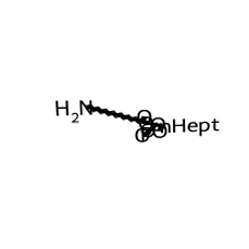 CCCCCCCC(=O)O[C@@H](COP=O)COC(=O)CCCCCCCCCCCCCCN